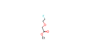 CCOC(=O)COCCF